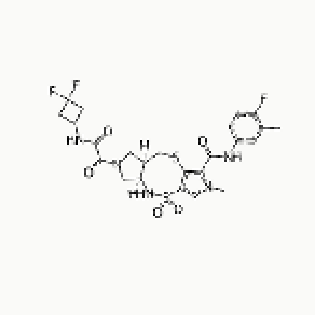 Cc1cc(NC(=O)c2c3c(cn2C)S(=O)(=O)N[C@H]2CN(C(=O)C(=O)NC4CC(F)(F)C4)C[C@H]2CS3)ccc1F